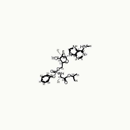 CNc1ncnc2c1ncn2[C@@H]1OC(CO[P@@](=O)(N[C@@H](C)C(=O)OC(C)C)Oc2ccccc2)[C@@H](O)[C@@]1(C)F